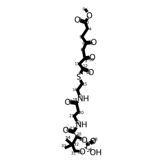 COC(=O)CCC(=O)CC(=O)CC(=O)SCCNC(=O)CCNC(=O)[C@@H]1OP(=O)(O)OCC1(C)C